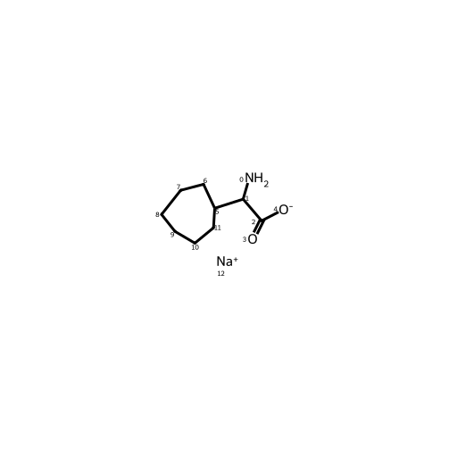 NC(C(=O)[O-])C1CCCCCC1.[Na+]